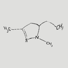 CCC1CC(C)=NN1C